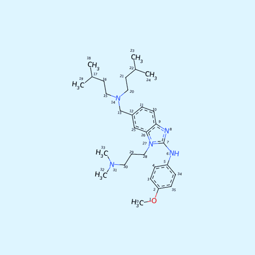 COc1ccc(Nc2nc3ccc(CN(CCC(C)C)CCC(C)C)cc3n2CCCN(C)C)cc1